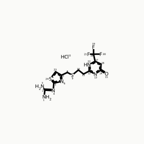 Cl.NC(N)=Nc1nc(CSCCc2nc(=O)cc(C(F)(F)F)[nH]2)cs1